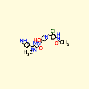 CC(=O)Nc1ccc(CN2CCC(O)(Cn3cnc4c(-c5ccc(CN)cc5)n(C)nc4c3=O)CC2)c(Cl)c1